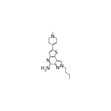 CCCCn1cc2c(n1)c(N)nc1cc(C3=CCN(C)CC3)sc12